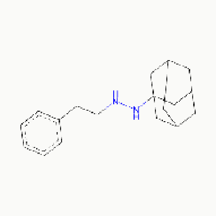 c1ccc(CCNNC23CC4CC(CC(C4)C2)C3)cc1